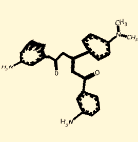 CN(C)c1ccc(C(CC(=O)c2cccc(N)c2)CC(=O)c2cccc(N)c2)cc1